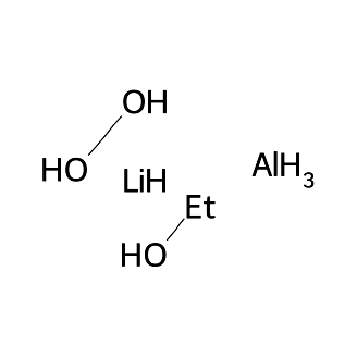 CCO.OO.[AlH3].[LiH]